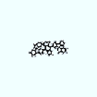 c1ccc2c(c1)CCC21c2ccccc2-c2ccc(-c3c4ccccc4c(-c4ccc5c(c4)C4(CCc6ccccc64)c4ccccc4-5)c4ncccc34)cc21